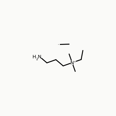 CC[N+](C)(C)CCCN.[CH2]C